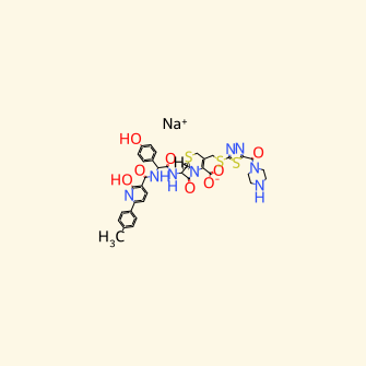 Cc1ccc(-c2ccc(C(=O)NC(C(=O)NC3C(=O)N4C(C(=O)[O-])=C(CSc5nnc(C(=O)N6CCNCC6)s5)CS[C@@H]34)c3ccc(O)cc3)c(O)n2)cc1.[Na+]